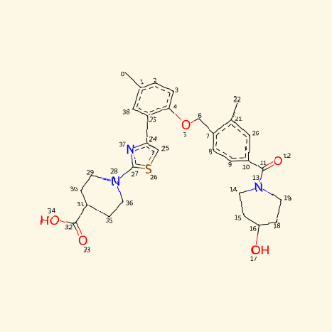 Cc1ccc(OCc2ccc(C(=O)N3CCC(O)CC3)cc2C)c(-c2csc(N3CCC(C(=O)O)CC3)n2)c1